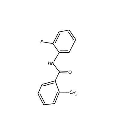 [CH2]c1ccccc1C(=O)Nc1ccccc1F